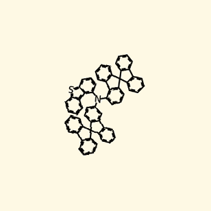 c1ccc2c(c1)-c1ccccc1C21c2ccccc2-c2cc(N(c3cccc4c3-c3ccccc3C43c4ccccc4-c4ccccc43)c3cccc4sc5ccccc5c34)ccc21